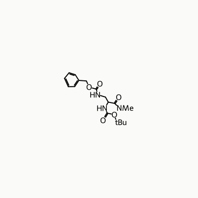 CNC(=O)C(CNC(=O)OCc1ccccc1)NC(=O)OC(C)(C)C